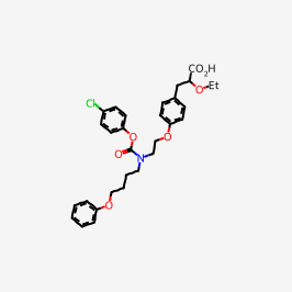 CCOC(Cc1ccc(OCCN(CCCCOc2ccccc2)C(=O)Oc2ccc(Cl)cc2)cc1)C(=O)O